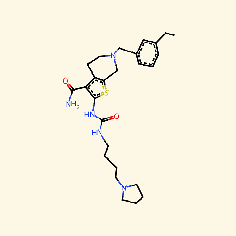 CCc1cccc(CN2CCc3c(sc(NC(=O)NCCCCN4CCCC4)c3C(N)=O)C2)c1